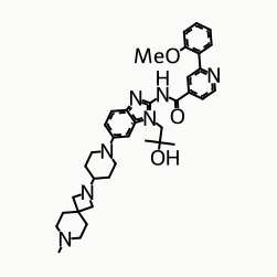 COc1ccccc1-c1cc(C(=O)Nc2nc3ccc(N4CCC(N5CC6(CCN(C)CC6)C5)CC4)cc3n2CC(C)(C)O)ccn1